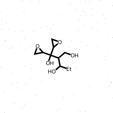 CCC(O)C(CO)C(O)(C1CO1)C1CO1